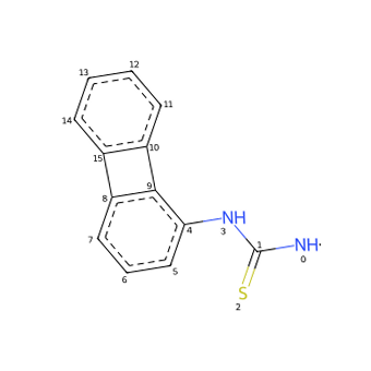 [NH]C(=S)Nc1cccc2c1-c1ccccc1-2